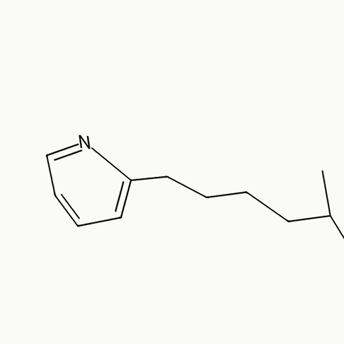 CC(C)CCCCc1ccccn1